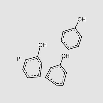 Oc1ccccc1.Oc1ccccc1.Oc1ccccc1.[P]